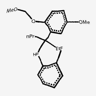 CCCC(CC)(Pc1ccccc1F)c1cc(OC)ccc1OCOC